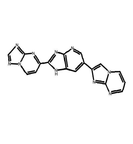 c1cnc2nc(-c3cnc4nc(-c5ccn6ncnc6n5)[nH]c4c3)cn2c1